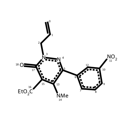 C=CCn1nc(-c2cccc([N+](=O)[O-])c2)c(NC)c(C(=O)OCC)c1=O